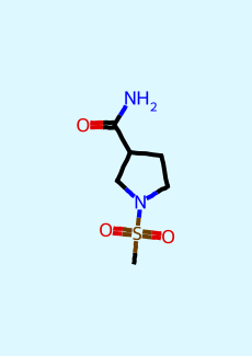 CS(=O)(=O)N1CCC(C(N)=O)C1